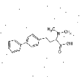 CN(C)C(CCc1ccc(-c2ccccc2)cc1)C(=O)O